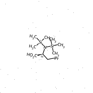 CC(C)C[C@@H](C(=O)O)N([Si](C)(C)C)[Si](C)(C)C